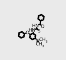 CN(C)c1ccc(Oc2ccccc2)c(NC(=S)NC(=O)c2ccccc2)c1